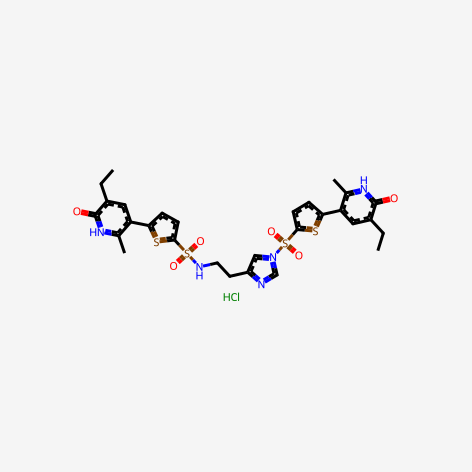 CCc1cc(-c2ccc(S(=O)(=O)NCCc3cn(S(=O)(=O)c4ccc(-c5cc(CC)c(=O)[nH]c5C)s4)cn3)s2)c(C)[nH]c1=O.Cl